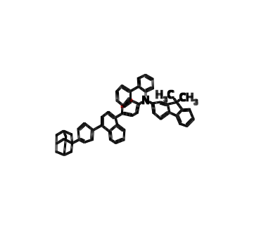 CC1(C)c2ccccc2-c2ccc(N(c3ccc(-c4ccc(-c5ccc(C67CC8CC(CC(C8)C6)C7)cc5)c5ccccc45)cc3)c3ccccc3-c3ccccc3)cc21